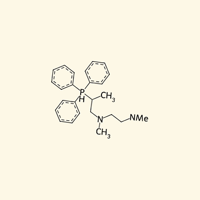 CNCCN(C)CC(C)[PH](c1ccccc1)(c1ccccc1)c1ccccc1